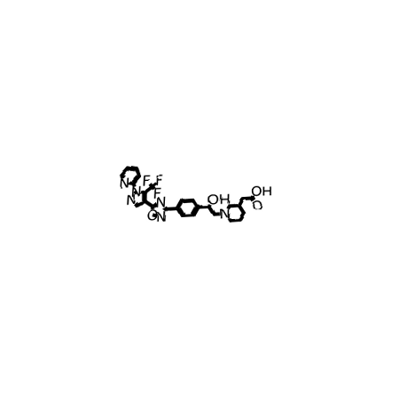 O=C(O)CC1CCCN(CC(O)c2ccc(-c3noc(-c4cnn(-c5ccccn5)c4C(F)(F)F)n3)cc2)C1